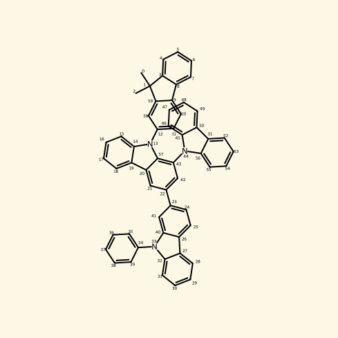 CC1(C)c2ccccc2-c2ccc(-n3c4ccccc4c4cc(-c5ccc6c7ccccc7n(-c7ccccc7)c6c5)cc(-n5c6ccccc6c6ccccc65)c43)cc21